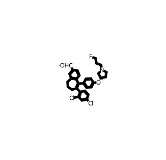 O=[C]c1ccc2c(c1)CCCC(c1ccc(Cl)cc1Cl)=C2c1ccc(O[C@H]2CCN(CCCF)C2)cc1